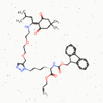 C=CCOC(=O)[C@H](CCCCn1nncc1COCCOCCNC(CC(C)C)=C1C(=O)CC(C)(C)CC1=O)NC(=O)OCC1c2ccccc2-c2ccccc21